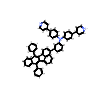 c1ccc(-c2c3c(c(-c4ccccc4)c4ccccc24)-c2ccc(-c4cccc(N(c5ccc(-c6ccncc6)cc5)c5ccc(-c6ccncc6)cc5)c4)c4cccc-3c24)cc1